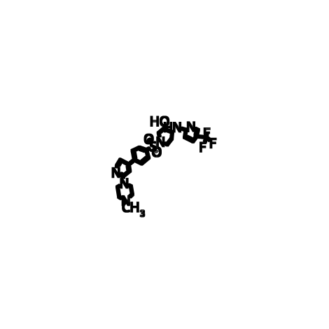 CN1CCN(c2cc(-c3ccc(S(=O)(=O)N4CC[C@@H](Nc5ccc(C(F)(F)F)cn5)[C@@H](O)C4)cc3)ccn2)CC1